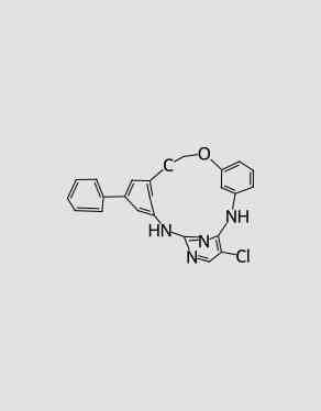 Clc1cnc2nc1Nc1cccc(c1)OCCc1cc(cc(-c3ccccc3)c1)N2